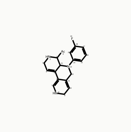 CC(=O)C1NCC=C2C3=CNCC=C3CN(c3cccc(F)c3)C21